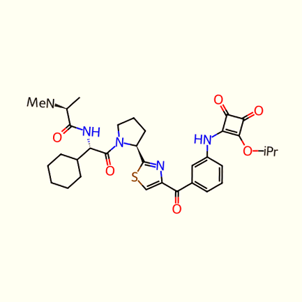 CN[C@@H](C)C(=O)N[C@H](C(=O)N1CCC[C@H]1c1nc(C(=O)c2cccc(Nc3c(OC(C)C)c(=O)c3=O)c2)cs1)C1CCCCC1